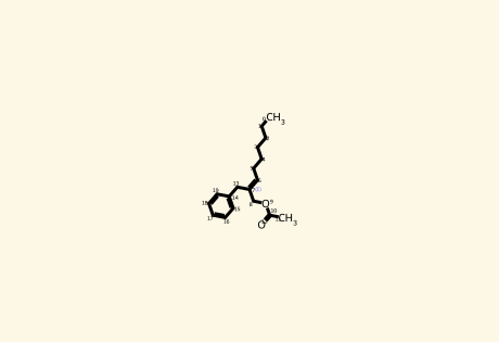 CCCCCC/C=C(/COC(C)=O)Cc1ccccc1